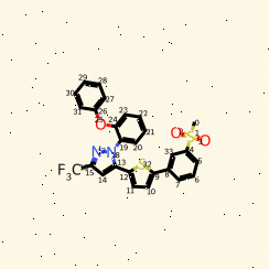 CS(=O)(=O)c1cccc(-c2ccc(-c3cc(C(F)(F)F)nn3-c3ccccc3Oc3ccccc3)s2)c1